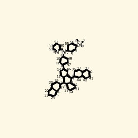 C[Si](C)(C)c1ccc(N(c2ccc(-c3ccc4c(-c5ccc6ccccc6c5)c5ccccc5c(-c5ccc6ccccc6c5)c4c3)cc2)c2ccccn2)cc1